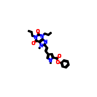 CCCn1c(=O)c2c(nc(/C=C/c3cc(C(=O)Oc4ccccc4)n(C)c3)n2C)n(CCC)c1=O